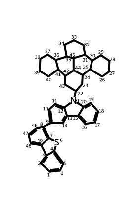 c1ccc2c(c1)sc1c(-c3ccc4c(c3)c3ccccc3n4C3CC4C5CCCCC5C5CCCC6C7CCCCC7C(C3)C4C56)cccc12